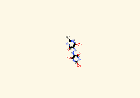 Cc1nc(O)c(N=Nc2c(O)nc(O)[nH]c2=O)c(=O)[nH]1